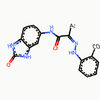 CC(=O)/C(=N/Nc1ccccc1C(=O)O)C(=O)Nc1ccc2[nH]c(=O)[nH]c2c1